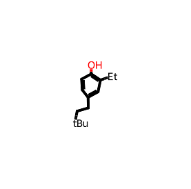 CCc1cc(CCC(C)(C)C)ccc1O